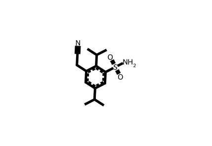 CC(C)c1cc(CC#N)c(C(C)C)c(S(N)(=O)=O)c1